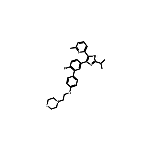 Cc1cccc(-c2[nH]c(C(C)C)nc2-c2ccc(F)c(-c3ccc(OCCN4CCOCC4)cc3)c2)n1